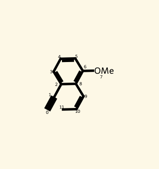 C#Cc1cccc(OC)c1/C=C\C